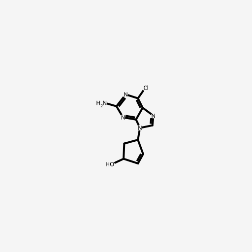 Nc1nc(Cl)c2ncn(C3C=CC(O)C3)c2n1